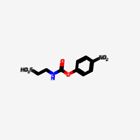 O=C(NCCS(=O)(=O)O)Oc1ccc([N+](=O)[O-])cc1